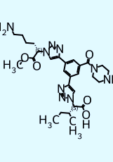 CCC(C)[C@@H](C(=O)O)n1cc(-c2cc(C(=O)N3CCNCC3)cc(-c3cn([C@@H](CCCCN)C(=O)OC)nn3)c2)nn1